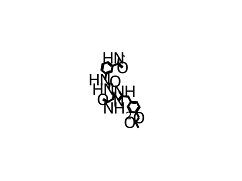 CNC(=O)c1cccc(NC(=O)Nc2[nH]c(Cc3ccc(OC(C)=O)cc3)nc2C(N)=O)c1